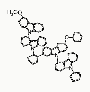 COc1ccc2c(c1)c1ccccc1n2-c1cccc2c1c1ccccc1n2-c1ccccc1-c1ccc2c3cc(Oc4ccccc4)ccc3n(-c3cccc4c3c3ccccc3n4-c3ccccc3)c2c1